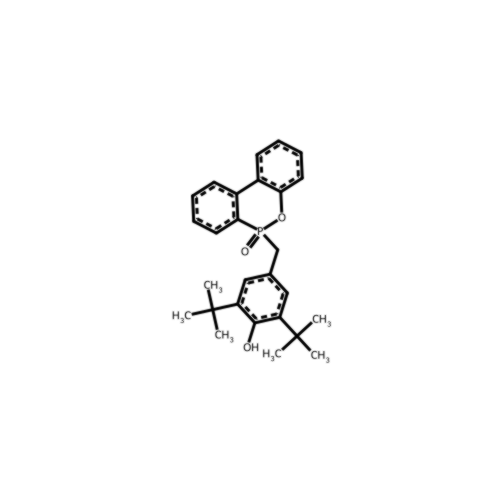 CC(C)(C)c1cc(CP2(=O)Oc3ccccc3-c3ccccc32)cc(C(C)(C)C)c1O